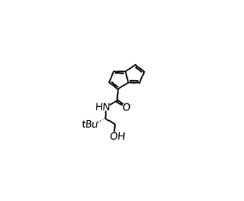 CC(C)(C)[C@@H](CO)NC(=O)C1=CC=C2C=CC=C21